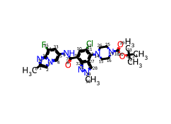 Cc1cn2cc(NC(=O)c3cc(Cl)c(N4CCN(C(=O)OC(C)(C)C)CC4)c4cn(C)nc34)cc(F)c2n1